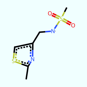 Cc1nc(C[N]S(C)(=O)=O)cs1